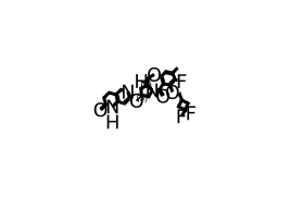 Cc1cc2c(c(OCC3CC(F)(F)C3)c1F)C(=O)N1C[C@@H](Oc3cc4c(cn3)CCC(=O)N4)C[C@@H]1CO2